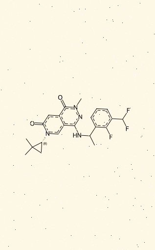 CC(Nc1nn(C)c(=O)c2cc(=O)n([C@@H]3CC3(C)C)cc12)c1cccc(C(F)F)c1F